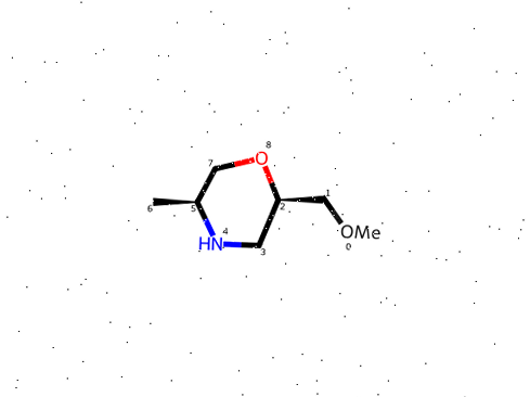 COC[C@H]1CN[C@@H](C)CO1